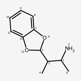 CC(N)C(C)C1Oc2ccccc2O1